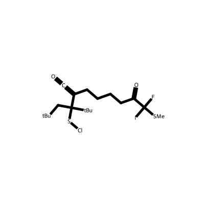 CSC(F)(I)C(=O)CCCCC(=C=O)C(CC(C)(C)C)(SCl)C(C)(C)C